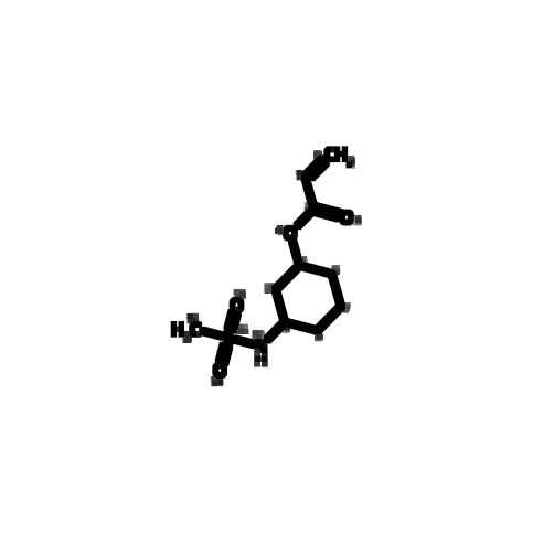 C=CC(=O)OC1CCCC(NS(C)(=O)=O)C1